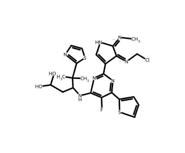 C/N=C1/NC=C(c2nc(NC(CC(O)O)C(C)(C)c3nccs3)c(F)c(-c3cccs3)n2)/C1=N/CCl